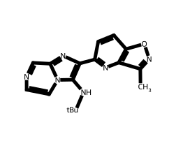 Cc1noc2ccc(-c3nc4cnccn4c3NC(C)(C)C)nc12